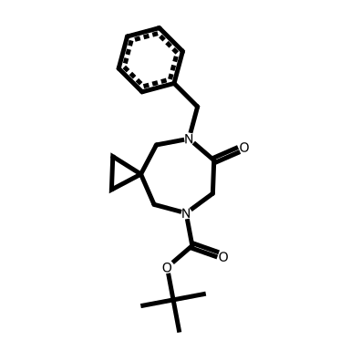 CC(C)(C)OC(=O)N1CC(=O)N(Cc2ccccc2)CC2(CC2)C1